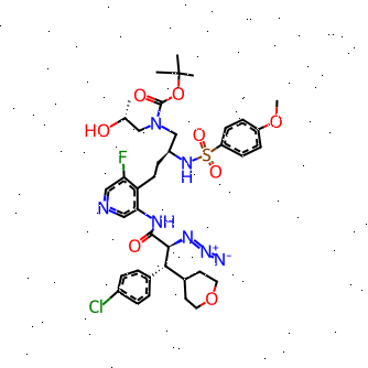 COc1ccc(S(=O)(=O)N[C@@H](CCc2c(F)cncc2NC(=O)[C@@H](N=[N+]=[N-])[C@@H](c2ccc(Cl)cc2)C2CCOCC2)CN(C[C@@H](C)O)C(=O)OC(C)(C)C)cc1